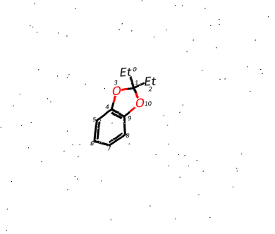 CCC1(CC)Oc2[c]cccc2O1